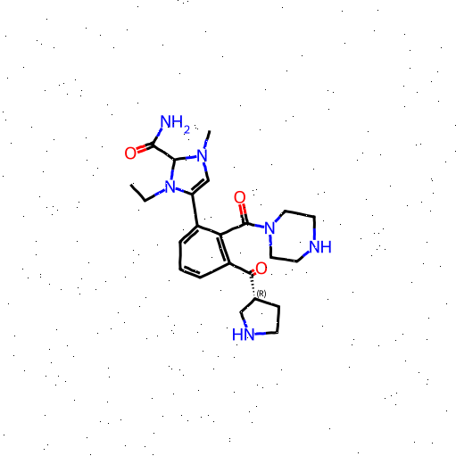 CCN1C(c2cccc(C(=O)[C@@H]3CCNC3)c2C(=O)N2CCNCC2)=CN(C)C1C(N)=O